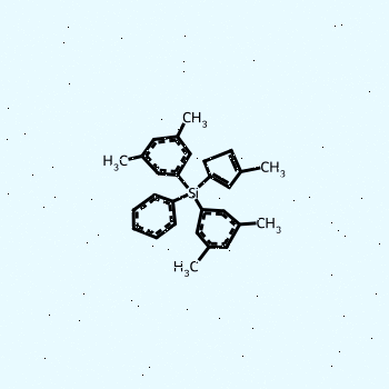 CC1=CCC([Si](c2ccccc2)(c2cc(C)cc(C)c2)c2cc(C)cc(C)c2)=C1